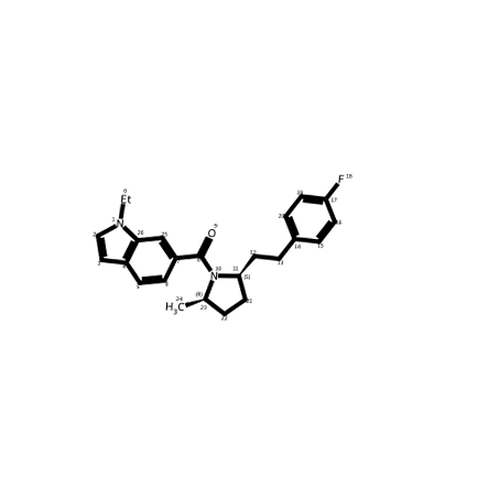 CCn1ccc2ccc(C(=O)N3[C@@H](CCc4ccc(F)cc4)CC[C@H]3C)cc21